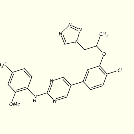 COc1cc(C)ccc1Nc1ncc(-c2ccc(Cl)c(OC(C)Cn3cnnn3)c2)cn1